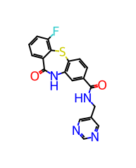 O=C(NCc1cncnc1)c1ccc2c(c1)NC(=O)c1cccc(F)c1S2